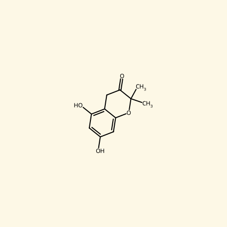 CC1(C)Oc2cc(O)cc(O)c2CC1=O